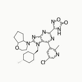 Cc1ncc(Cl)cc1-c1nc(-c2noc(=O)[nH]2)nc2nc(N3CCOC4CCCC43)n(C[C@H]3CC[C@H](C)CC3)c12